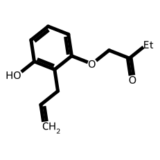 C=CCc1c(O)cccc1OCC(=O)CC